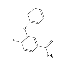 NC(=O)c1ccc(F)c(Oc2ccccc2)c1